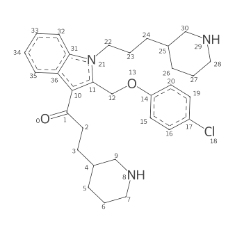 O=C(CCC1CCCNC1)c1c(COc2ccc(Cl)cc2)n(CCCC2CCCNC2)c2ccccc12